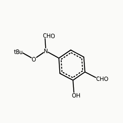 CC(C)(C)ON(C=O)c1ccc(C=O)c(O)c1